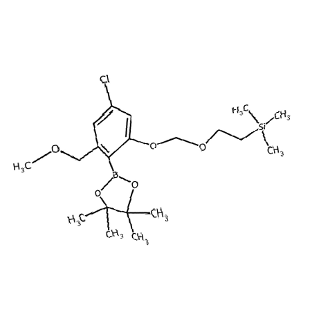 COCc1cc(Cl)cc(OCOCC[Si](C)(C)C)c1B1OC(C)(C)C(C)(C)O1